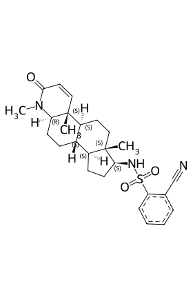 CN1C(=O)C=C[C@]2(C)[C@H]3CC[C@]4(C)[C@@H](NS(=O)(=O)c5ccccc5C#N)CC[C@H]4[C@@H]3CC[C@@H]12